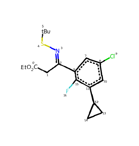 CCOC(=O)C/C(=N\SC(C)(C)C)c1cc(Cl)cc(C2CC2)c1F